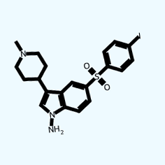 CN1CCC(c2cn(N)c3ccc(S(=O)(=O)c4ccc(I)cc4)cc23)CC1